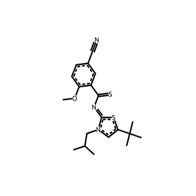 COc1ccc(C#N)cc1C(=S)/N=c1\sc(C(C)(C)C)cn1CC(C)C